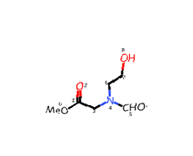 COC(=O)CN([C]=O)CCO